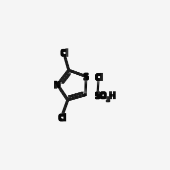 Clc1csc(Cl)n1.O=S(=O)(O)Cl